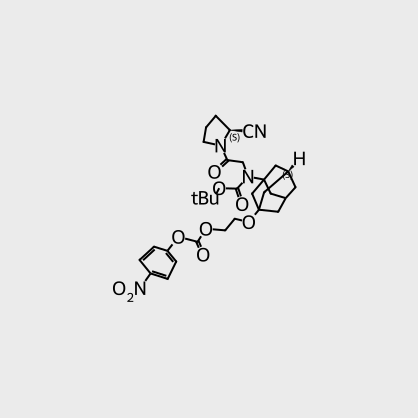 CC(C)(C)OC(=O)N(CC(=O)N1CCC[C@H]1C#N)C12CC3C[C@H](CC(OCCOC(=O)Oc4ccc([N+](=O)[O-])cc4)(C3)C1)C2